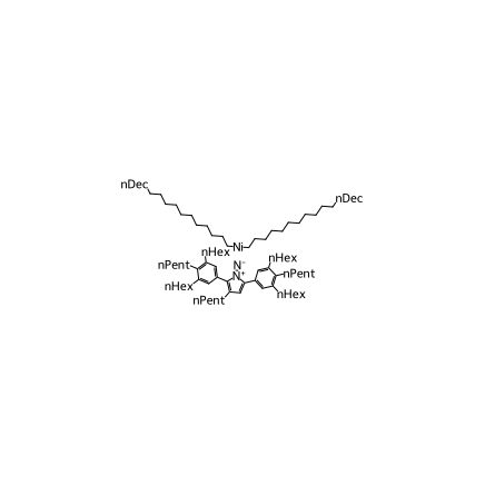 CCCCCCCCCCCCCCCCCCCC[CH2][Ni][CH2]CCCCCCCCCCCCCCCCCCCC.CCCCCCc1cc(C2=CC(CCCCC)=C(c3cc(CCCCCC)c(CCCCC)c(CCCCCC)c3)[N+]2=[N-])cc(CCCCCC)c1CCCCC